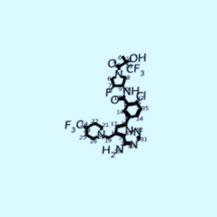 C[C@@](O)(C(=O)N1C[C@H](F)[C@H](NC(=O)c2cc(-c3cc(CN4CCC(C(F)(F)F)CC4)c4c(N)ncnn34)ccc2Cl)C1)C(F)(F)F